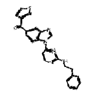 O=C(c1ccsc1)c1ccc2c(c1)ncn2-c1ccnc(NCCc2ccccc2)n1